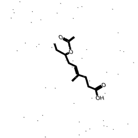 CCC(C/C=C(\C)CCC(=O)O)OC(C)=O